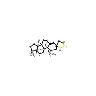 COC[C@]12CCC3(C=C1CC[C@@H]1[C@@H]2CC[C@]2(C)[C@@H](C#N)CC[C@@H]12)CCSS3